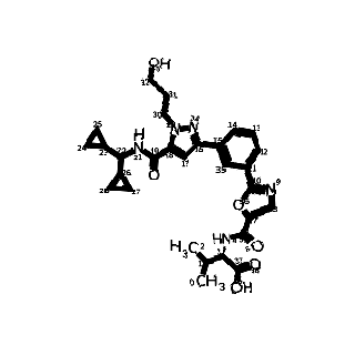 CC(C)[C@H](NC(=O)c1cnc(-c2cccc(-c3cc(C(=O)NC(C4CC4)C4CC4)n(CCCO)n3)c2)o1)C(=O)O